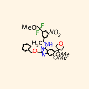 COCC(F)(F)c1cc([C@@H](C)Nc2nc(COCc3ccccc3)nc3cc(OC)c(C4(OC)CCOCC4)cc23)cc([N+](=O)[O-])c1